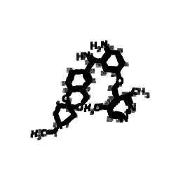 CCN1CCC2(CC1)OCc1cc(C(=N)c3cc(OCc4c(C)cnnc4C)ccc3N)ccc1O2